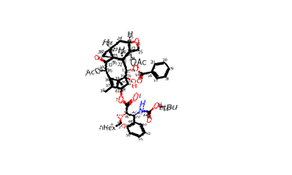 CCCCCCC(=O)O[C@@H](C(=O)OC1C[C@@]2(O)[C@@H](OC(=O)c3ccccc3)[C@@H]3[C@]4(OC(C)=O)CO[C@@H]4C[C@@H]4C[C@@]43C(=O)[C@H](OC(C)=O)C(=C1C)C2(C)C)[C@@H](NC(=O)OC(C)(C)C)c1ccccc1